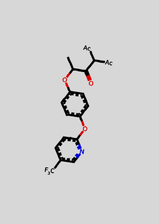 CC(=O)C(C(C)=O)C(=O)C(C)Oc1ccc(Oc2ccc(C(F)(F)F)cn2)cc1